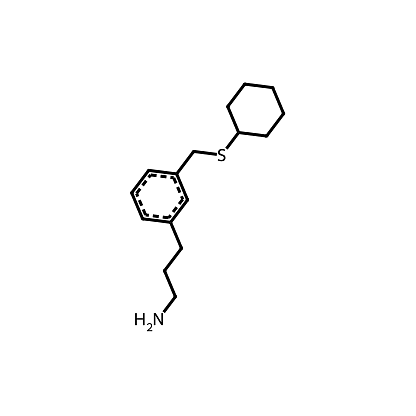 NCCCc1cccc(CSC2CCCCC2)c1